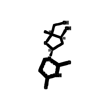 C[C@]1(CO)O[C@@H](n2ccc(=O)[nH]c2=O)C[C@@H]1O